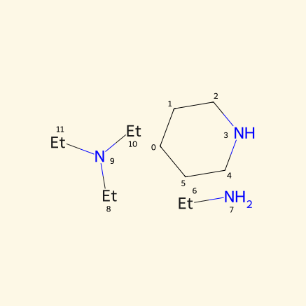 C1CCNCC1.CCN.CCN(CC)CC